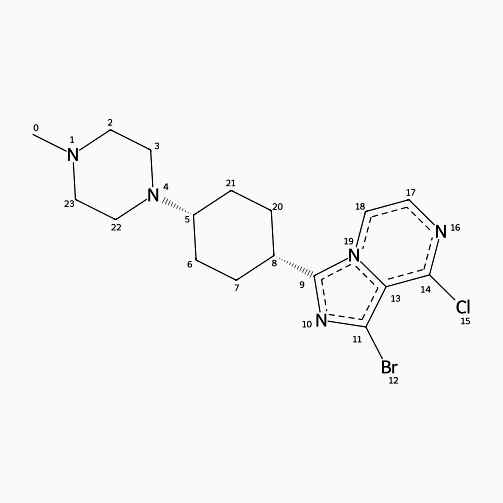 CN1CCN([C@H]2CC[C@@H](c3nc(Br)c4c(Cl)nccn43)CC2)CC1